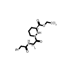 CC(C)CC(=O)N[C@@H](C)C(=O)N1CCC[C@@H](C(=O)OCC(Cl)(Cl)Cl)N1